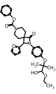 CCOC(O)C(C)(C)Oc1ccc(N2C(=O)C3(CCN(C(=O)Oc4ccccc4)CC3)C2c2ccco2)cc1